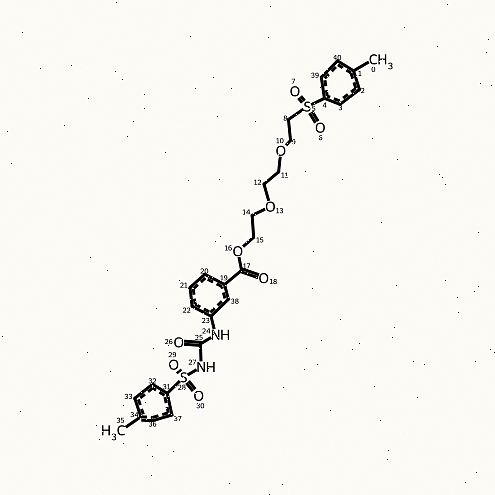 Cc1ccc(S(=O)(=O)CCOCCOCCOC(=O)c2cccc(NC(=O)NS(=O)(=O)c3ccc(C)cc3)c2)cc1